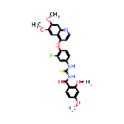 COc1ccc(C(=O)NC(=S)Nc2ccc(Oc3ccnc4cc(OC)c(OC)cc34)c(F)c2)c(OC)c1